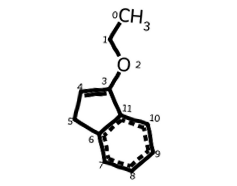 CCOC1=CCc2ccccc21